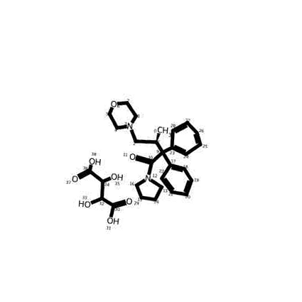 C[C@H](CN1CCOCC1)C(C(=O)N1CCCC1)(c1ccccc1)c1ccccc1.O=C(O)C(O)C(O)C(=O)O